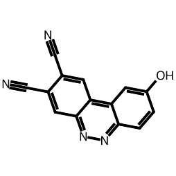 N#Cc1cc2nnc3ccc(O)cc3c2cc1C#N